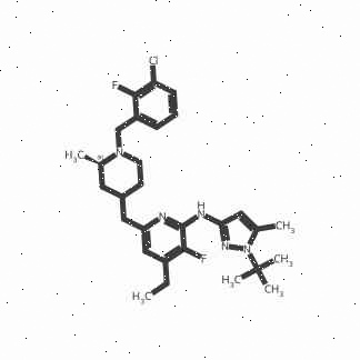 CCc1cc(CC2CCN(Cc3cccc(Cl)c3F)[C@H](C)C2)nc(Nc2cc(C)n(C(C)(C)C)n2)c1F